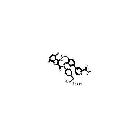 COc1ccc(-c2ccnc(C(=O)N(C)C)c2)cc1CN(C(=O)c1sc2c(F)ccc(F)c2c1Cl)C1CCC(CN(C(=O)O)C(C)(C)C)CC1